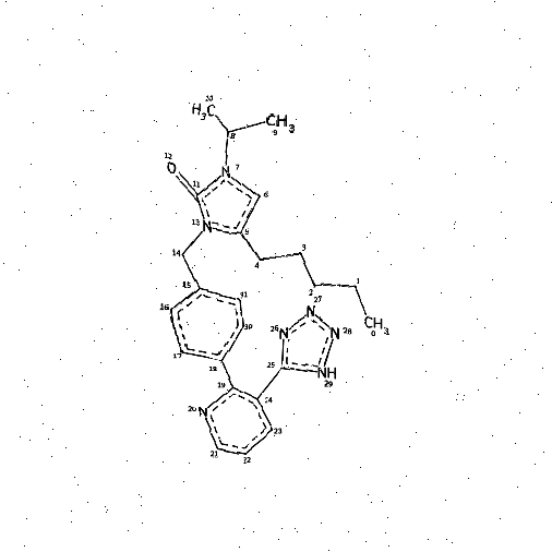 CCCCCc1cn(C(C)C)c(=O)n1Cc1ccc(-c2ncccc2-c2nnn[nH]2)cc1